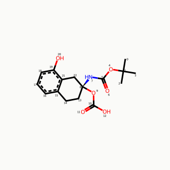 CC(C)(C)OC(=O)N[C@@]1(OC(=O)O)CCc2cccc(O)c2C1